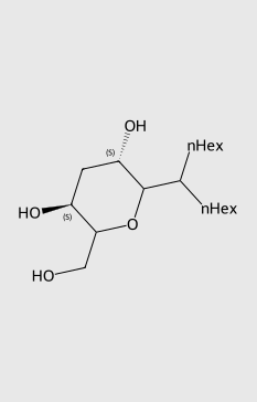 CCCCCCC(CCCCCC)C1OC(CO)[C@@H](O)C[C@@H]1O